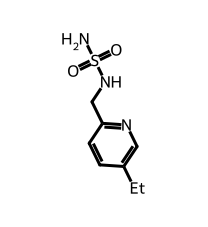 CCc1ccc(CNS(N)(=O)=O)nc1